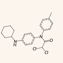 Cc1ccc(N(C(=O)C(Cl)Cl)c2ccc(NC3CCCCC3)cc2)cc1